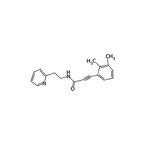 Cc1cccc(C#CC(=O)NCCc2ccccn2)c1C